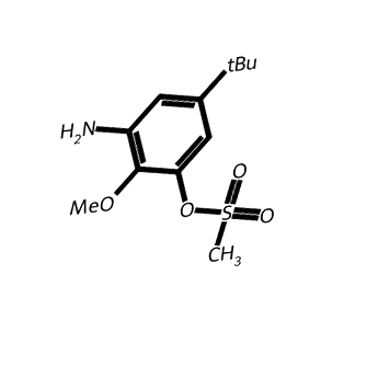 COc1c(N)cc(C(C)(C)C)cc1OS(C)(=O)=O